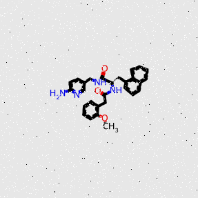 COc1ccccc1CC(=O)N[C@@H](Cc1cccc2ccccc12)C(=O)NCc1ccc(N)nc1